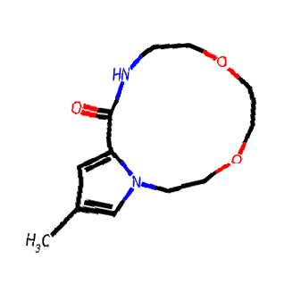 Cc1cc2n(c1)CCOCCOCCNC2=O